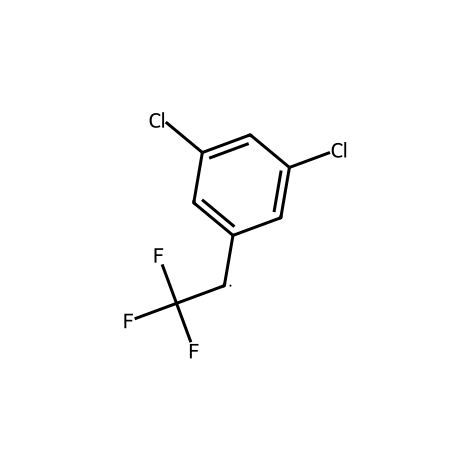 FC(F)(F)[CH]c1cc(Cl)cc(Cl)c1